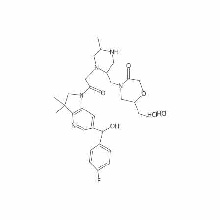 CCC1CN(CC2CNC(C)CN2CC(=O)N2CC(C)(C)c3ncc(C(O)c4ccc(F)cc4)cc32)C(=O)CO1.Cl.Cl